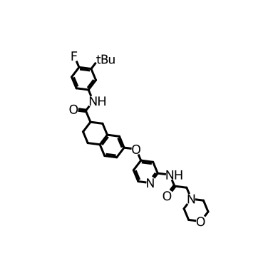 CC(C)(C)c1cc(NC(=O)C2CCc3ccc(Oc4ccnc(NC(=O)CN5CCOCC5)c4)cc3C2)ccc1F